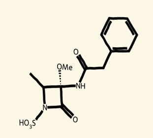 CO[C@]1(NC(=O)Cc2ccccc2)C(=O)N(S(=O)(=O)O)C1C